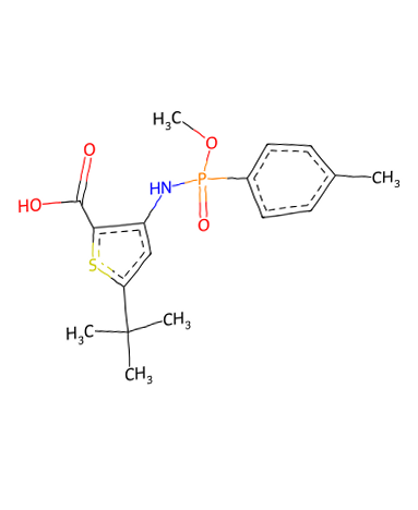 COP(=O)(Nc1cc(C(C)(C)C)sc1C(=O)O)c1ccc(C)cc1